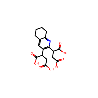 O=C(O)CC(C(=O)O)c1cc2c(nc1C(CC(=O)O)C(=O)O)CCCC2